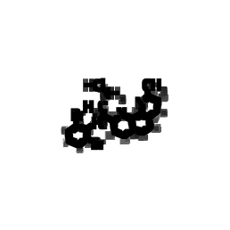 C=[C]([Fe][c]1c(Br)cccc1Br)c1ccc2ccc3ccc(C)nc3c2n1.Cl.N